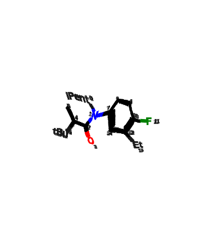 CCCC(C)N(C(=O)C(C)C(C)(C)C)c1ccc(F)c(CC)c1